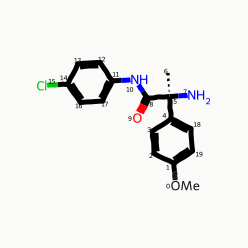 COc1ccc([C@](C)(N)C(=O)Nc2ccc(Cl)cc2)cc1